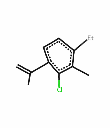 C=C(C)c1ccc(CC)c(C)c1Cl